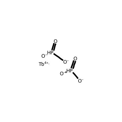 O=[PH]([O-])[O-].O=[PH]([O-])[O-].[Tb+4]